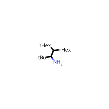 CCCCCCC(CCCCCC)C(N)C(C)(C)C